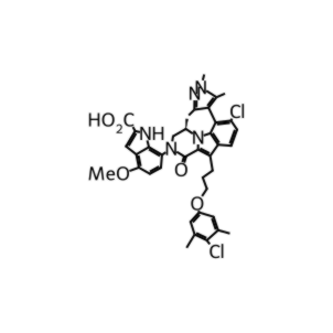 COc1ccc(N2C[C@@H](C)n3c(c(CCCOc4cc(C)c(Cl)c(C)c4)c4ccc(Cl)c(-c5c(C)nn(C)c5C)c43)C2=O)c2[nH]c(C(=O)O)cc12